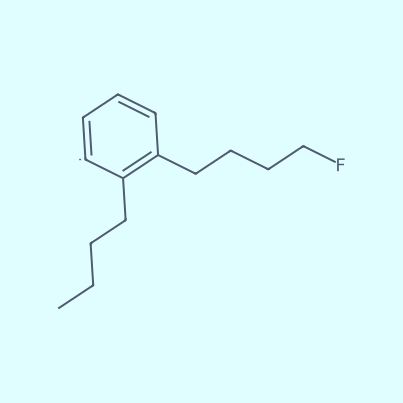 CCCCc1[c]cccc1CCCCF